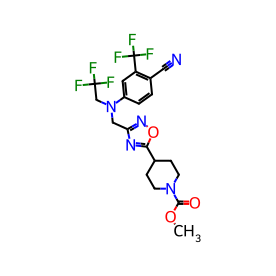 COC(=O)N1CCC(c2nc(CN(CC(F)(F)F)c3ccc(C#N)c(C(F)(F)F)c3)no2)CC1